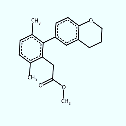 COC(=O)Cc1c(C)ccc(C)c1-c1ccc2c(c1)CCCO2